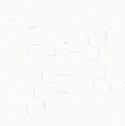 COc1cc2[nH]cc(C3(c4cn(Cc5ccccc5)c5cc(F)ccc45)C=C(c4cn(Cc5ccccc5)c5cc(F)ccc45)C(=O)O3)c2cc1OC